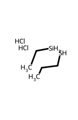 CCCS.CC[SiH3].Cl.Cl